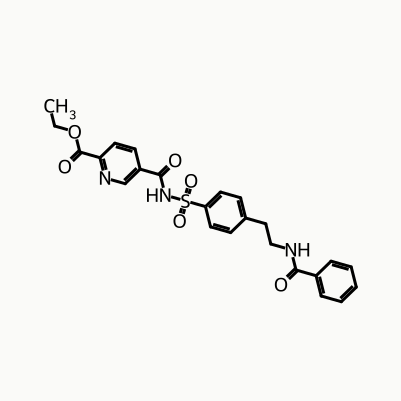 CCOC(=O)c1ccc(C(=O)NS(=O)(=O)c2ccc(CCNC(=O)c3ccccc3)cc2)cn1